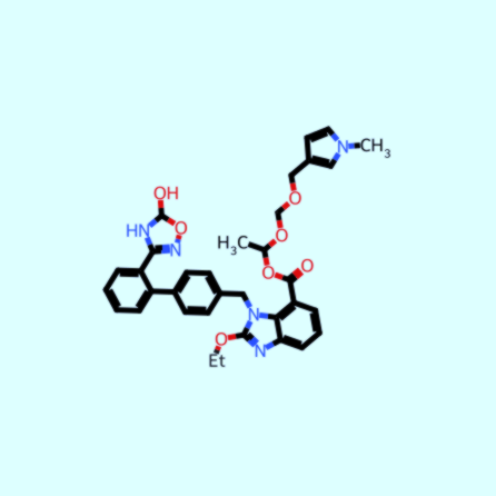 CCOc1nc2cccc(C(=O)OC(C)OCOCc3ccn(C)c3)c2n1Cc1ccc(-c2ccccc2C2=NOC(O)N2)cc1